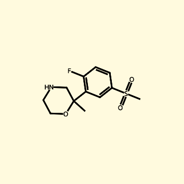 CC1(c2cc(S(C)(=O)=O)ccc2F)CNCCO1